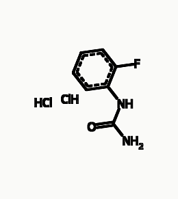 Cl.Cl.NC(=O)Nc1ccccc1F